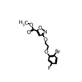 COC(=O)c1cc(OCCOc2cc(F)ccc2Br)no1